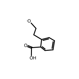 [O]CCc1ccccc1C(=O)O